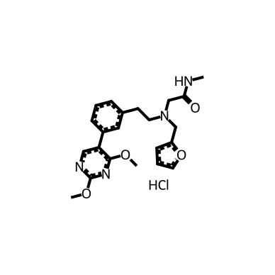 CNC(=O)CN(CCc1cccc(-c2cnc(OC)nc2OC)c1)Cc1ccco1.Cl